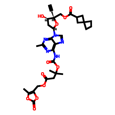 C#C[C@]1(COC(=O)C2CC3(CCC3)C2)O[C@@H](n2cnc3c(NC(=O)OC(C)(C)CC(=O)OCc4oc(=O)oc4C)nc(C)nc32)C[C@@H]1O